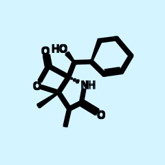 CC1C(=O)N[C@@]2([C@@H](O)[C@@H]3C=CCCC3)C(=O)O[C@@]12C